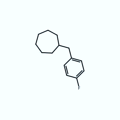 Fc1ccc(CC2CCCCCC2)cc1